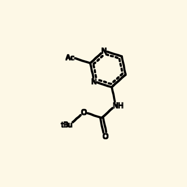 CC(=O)c1nccc(NC(=O)OC(C)(C)C)n1